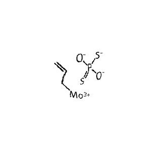 C=C[CH2][Mo+3].[O-]P([O-])(=S)[S-]